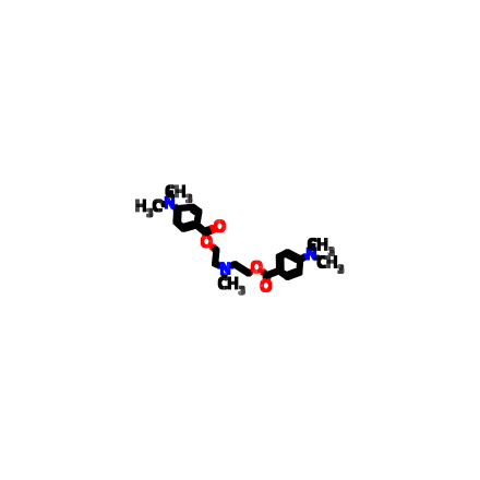 CN(CCOC(=O)c1ccc(N(C)C)cc1)CCOC(=O)c1ccc(N(C)C)cc1